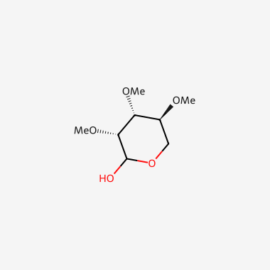 CO[C@@H]1[C@@H](OC)COC(O)[C@@H]1OC